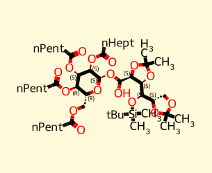 CCCCCCCC(=O)O[C@@H]1[C@H](OC(O)[C@H]2OC(C)(C)O[C@@H]2[C@@H](O[Si](C)(C)C(C)(C)C)[C@@H]2COC(C)(C)O2)O[C@H](COC(=O)CCCCC)[C@@H](OC(=O)CCCCC)[C@@H]1OC(=O)CCCCC